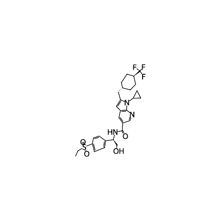 CCS(=O)(=O)c1ccc([C@H](CO)NC(=O)c2cnc3c(c2)cc(C[C@H]2CC[C@H](C(F)(F)F)CC2)n3C2CC2)cc1